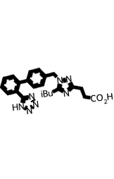 CCC(C)c1nc(CCC(=O)O)nn1Cc1ccc(-c2ccccc2-c2nnn[nH]2)cc1